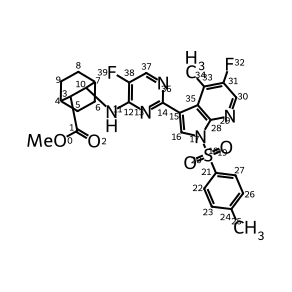 COC(=O)C1C2CCC(CC2)C1Nc1nc(-c2cn(S(=O)(=O)c3ccc(C)cc3)c3ncc(F)c(C)c23)ncc1F